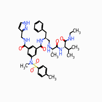 CCNC(=O)[C@@H](NC(=O)[C@H](C)NC[C@H](Cc1ccccc1)NC(=O)c1cc(C(=O)NCc2cc[nH]n2)cc(N(C)S(=O)(=O)c2ccc(C)cc2)c1)C(C)C